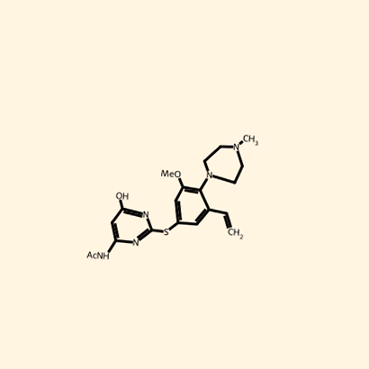 C=Cc1cc(Sc2nc(O)cc(NC(C)=O)n2)cc(OC)c1N1CCN(C)CC1